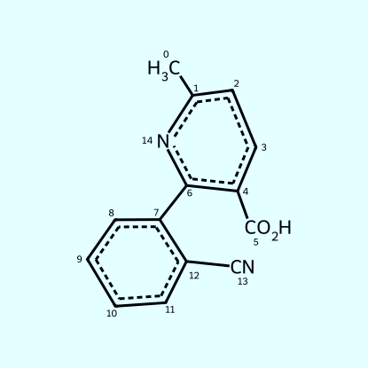 Cc1ccc(C(=O)O)c(-c2ccccc2C#N)n1